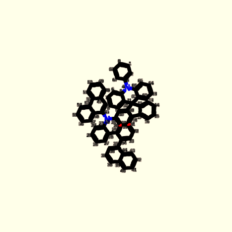 c1ccc(N2c3ccccc3C3(c4ccccc4-c4ccc(N(c5ccccc5-c5ccccc5-c5cccc6ccccc56)c5cc6ccccc6c6ccccc56)cc43)c3ccccc32)cc1